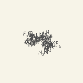 CCCN(c1ccccc1)c1ccc(F)c(NC(=O)c2cc(C(F)(F)F)nn2-c2cccc(C(N)c3ccc(C(NCC4CC4)c4ccc(F)c(NC(=O)c5cc(C(F)(F)F)nn5-c5cccc(CN)c5)c4)cc3)c2)c1